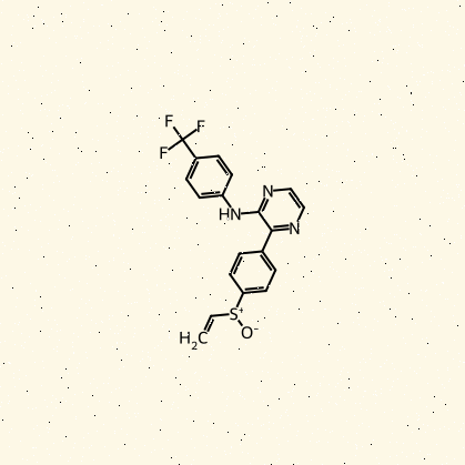 C=C[S+]([O-])c1ccc(-c2nccnc2Nc2ccc(C(F)(F)F)cc2)cc1